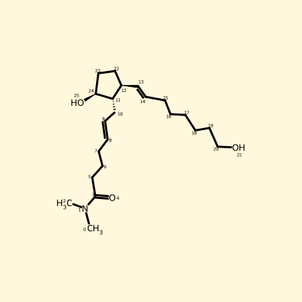 CN(C)C(=O)CCCC=CC[C@H]1[C@H](C=CCCCCCCO)CC[C@@H]1O